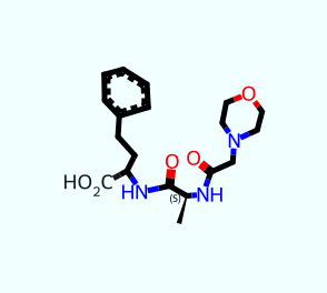 C[C@H](NC(=O)CN1CCOCC1)C(=O)NC(CCc1ccccc1)C(=O)O